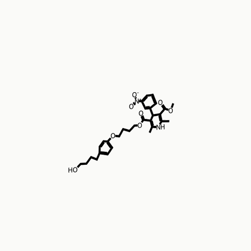 COC(=O)C1=C(C)NC(C)=C(C(=O)OCCCCOc2ccc(CCCCO)cc2)C1c1cccc([N+](=O)[O-])c1